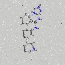 CN(c1cccc(-c2cccnc2)c1)c1nc2nncn2c2ccccc12